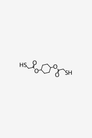 O=C(CS)OC1CCC(OC(=O)CS)CC1